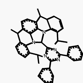 CC(C)C1=C2C(CC=C1)C(C)c1ccc3c4c1N2C(c1nc(-c2ccccc2)nc(-c2ccccc2)n1)N4c1c(C(C)C)cccc1C3C